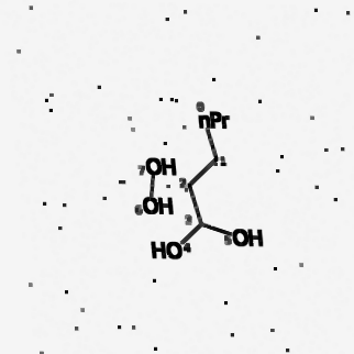 CCCCCC(O)O.OO